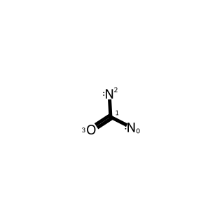 [N]C([N])=O